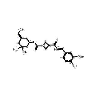 C/C=C1\CC(OC(=O)N2CC(C(=O)NCc3ccc(O)c(OC)c3)C2)CC(C)(C)C1